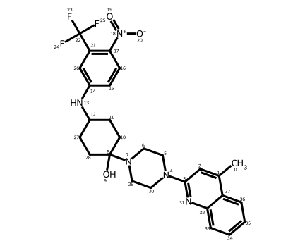 Cc1cc(N2CCN(C3(O)CCC(Nc4ccc([N+](=O)[O-])c(C(F)(F)F)c4)CC3)CC2)nc2ccccc12